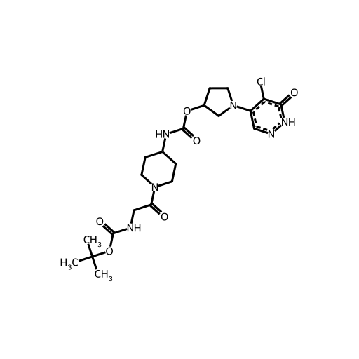 CC(C)(C)OC(=O)NCC(=O)N1CCC(NC(=O)OC2CCN(c3cn[nH]c(=O)c3Cl)C2)CC1